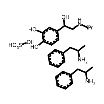 CC(C)NCC(O)c1ccc(O)c(O)c1.CC(N)Cc1ccccc1.CC(N)Cc1ccccc1.O=S(=O)(O)O